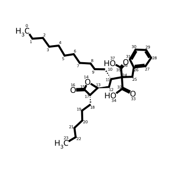 CCCCCCCCCCC[C@@H](C[C@@H]1OC(=O)[C@H]1CCCCCC)C(Cc1ccccc1)(C(=O)O)C(=O)O